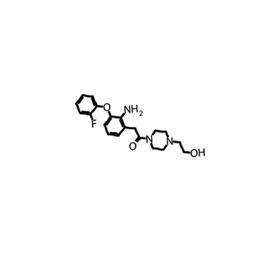 Nc1c(CC(=O)N2CCN(CCO)CC2)cccc1Oc1ccccc1F